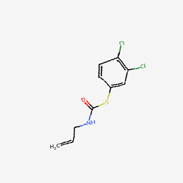 C=CCNC(=O)Sc1ccc(Cl)c(Cl)c1